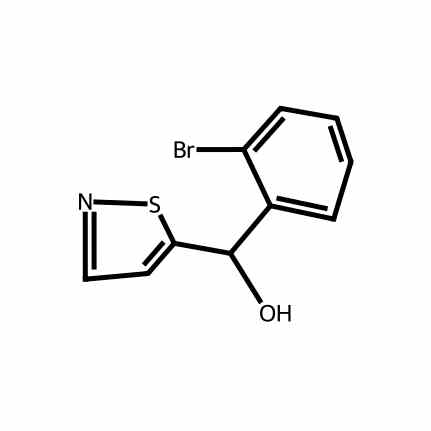 OC(c1ccns1)c1ccccc1Br